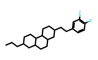 CCCC1CCC2C(CCC3CC(CCc4ccc(F)c(F)c4)CCC32)C1